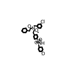 COc1ccc(CNS(=O)(=O)c2ccc(CCN(Cc3cc(Cl)ccc3OC)C(=O)Cc3ccccc3)cc2)cc1